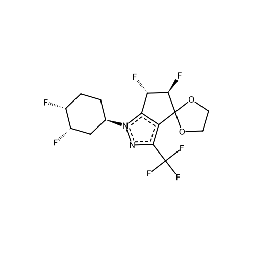 F[C@@H]1CC[C@@H](n2nc(C(F)(F)F)c3c2[C@H](F)[C@@H](F)C32OCCO2)C[C@@H]1F